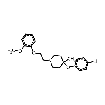 CC1(Oc2ccc(Cl)cc2)CCN(CCOc2ccccc2OC(F)(F)F)CC1